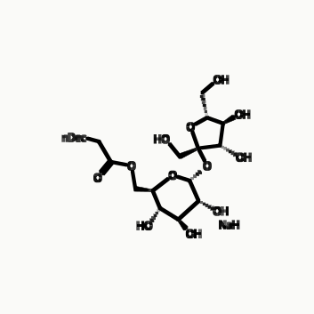 CCCCCCCCCCCC(=O)OC[C@H]1O[C@H](O[C@]2(CO)O[C@H](CO)[C@@H](O)[C@@H]2O)[C@H](O)[C@@H](O)[C@@H]1O.[NaH]